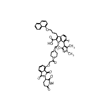 Cc1nn(C)c(C)c1-c1c(F)ccc2c(CCCOc3cccc4ccccc34)c(C(=O)O)n(CCN3CCN(C(=O)COc4cccc5c4C(=O)N(C4CCC(=O)NC4=O)C5=O)CC3)c12